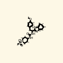 COc1ccc(CC(NC(=O)NC2CCN(S(C)(=O)=O)CC2)c2nc3ccccc3[nH]2)cc1